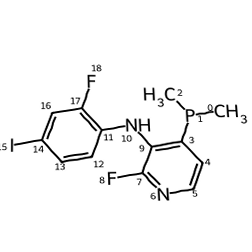 CP(C)c1ccnc(F)c1Nc1ccc(I)cc1F